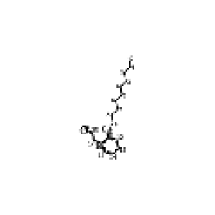 CCCCCCCCCCOc1ccccc1CC=O